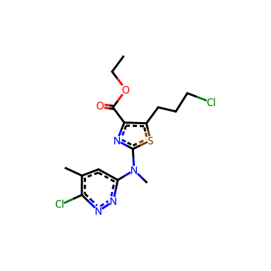 CCOC(=O)c1nc(N(C)c2cc(C)c(Cl)nn2)sc1CCCCl